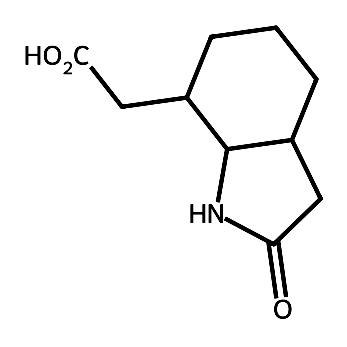 O=C(O)CC1CCCC2CC(=O)NC12